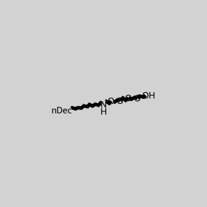 CCCCCCCCCCCCCCCCCCCCCNCCOCCOCCOCCOCCO